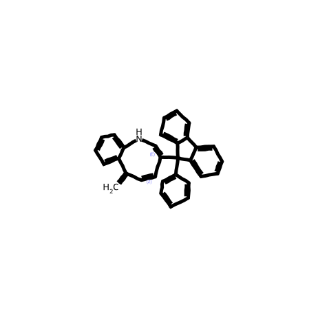 C=C1/C=C\C(C2(c3ccccc3)c3ccccc3-c3ccccc32)=C/Nc2ccccc21